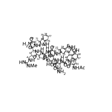 CNC(=N)NCCC[C@H](NC(=O)[C@H](CC(C)C)NC(=O)NNC(=O)[C@H](Cc1cccc(F)c1)NC(=O)C(NC(=O)[C@H](CC(N)=O)NC(=O)[C@H](CCCCN)NC(=O)[C@@H](Cc1ccc(O)cc1)NC(C)=O)[C@@H](C)O)C(=O)N[C@@H](Cc1c[nH]c2ccccc12)C(N)=O